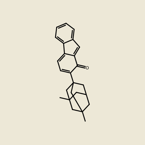 CC12CC3CC(C)(C1)CC(C1=CC=C4C(=Cc5ccccc54)C1=O)(C3)C2